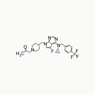 CC(=O)CN1CCC(Cn2cc(F)c3c(N(Cc4ccc(C(F)(F)F)cc4)C4CC4)ncnc32)CC1